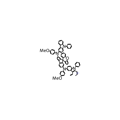 C=Cc1c(/C=C\C)n(-c2ccccc2)c2ccc(N(c3ccc(OC)cc3)c3ccc4c(c3)C3(c5ccccc5Oc5ccccc53)c3cc(N(c5ccc(OC)cc5)c5ccc6c(c5)c5ccccc5n6-c5ccccc5)ccc3-4)cc12